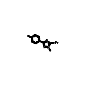 CCCc1nc(-c2ccc(C)cc2)nn1C